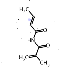 C=C(C)C(=O)NC(=O)/C=C/C